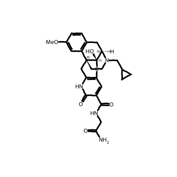 COc1ccc2c(c1)[C@]13CCN(CC4CC4)[C@H](C2)[C@]1(O)Cc1cc(C(=O)NCC(N)=O)c(=O)[nH]c1C3